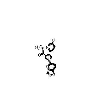 COC(=O)[C@@H]1CN(c2ccc3nncn3n2)C[C@H]1c1ccc(Cl)cn1